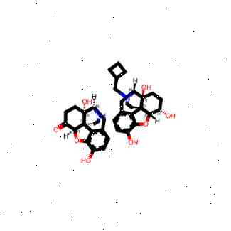 O=C1CC[C@@]2(O)[C@H]3Cc4ccc(O)c5c4[C@@]2(CCN3)[C@H]1O5.Oc1ccc2c3c1O[C@H]1[C@@H](O)CC[C@@]4(O)[C@@H](C2)N(CC2CCC2)CC[C@]314